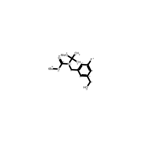 COC(C)(C)N(Cc1cc(F)cc(CO)c1)C(=O)OC(C)(C)C